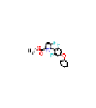 COC(=O)c1ccc(F)c(-c2c(F)cc(OC3CCCCC3)cc2F)n1